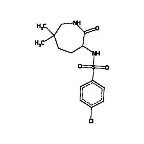 CC1(C)CCC(NS(=O)(=O)c2ccc(Cl)cc2)C(=O)NC1